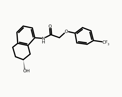 O=C(COc1ccc(C(F)(F)F)cc1)Nc1cccc2c1C[C@H](O)CC2